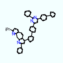 CC(C)c1ccc2c(n1)Cc1nc(-c3ccccc3)cc(-c3cccc(-c4ccc(-c5cc(-c6ccc(-c7ccccc7)cc6)nc(-c6ccccc6)n5)cc4)c3)c1C=C2